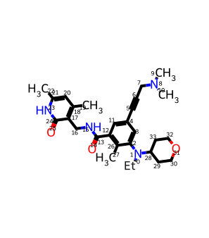 CCN(c1cc(C#CCN(C)C)cc(C(=O)NCc2c(C)cc(C)[nH]c2=O)c1C)C1CCOCC1